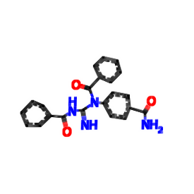 N=C(NC(=O)c1ccccc1)N(C(=O)c1ccccc1)c1ccc(C(N)=O)cc1